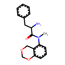 CN(C(=O)C(N)Cc1ccccc1)c1cccc2c1COCO2